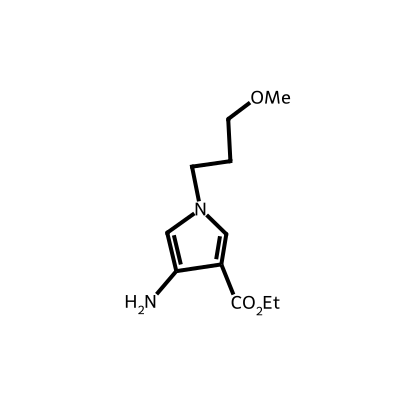 CCOC(=O)c1cn(CCCOC)cc1N